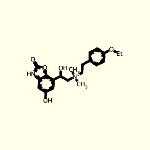 CCOc1ccc(CC[N+](C)(C)CC(O)c2cc(O)cc3[nH]c(=O)oc23)cc1